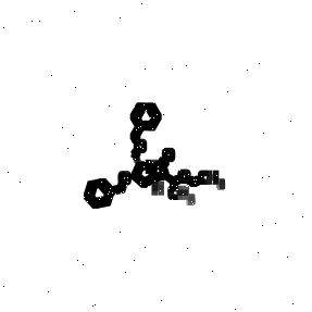 CCOC(C)[C@@H]1C(=O)N2[C@@H]1C[C@H](OCc1ccccc1)[C@@H]2COCc1ccccc1